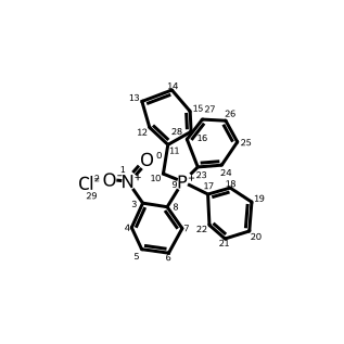 O=[N+]([O-])c1ccccc1[P+](Cc1ccccc1)(c1ccccc1)c1ccccc1.[Cl-]